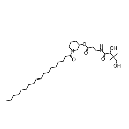 CCCCCCCCC=CCCCCCCCC(=O)N1CCCC(OC(=O)CCNC(=O)C(O)C(C)(C)CO)C1